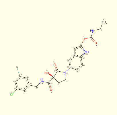 CCNC(=O)Oc1cc2cc(N3CC[C@](O)(C(=O)NCc4cc(F)cc(Cl)c4)C3=O)ccc2[nH]1